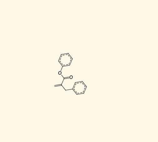 C=C(Cc1ccccc1)C(=O)Oc1ccccc1